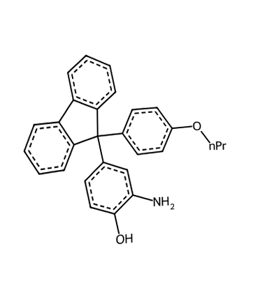 CCCOc1ccc(C2(c3ccc(O)c(N)c3)c3ccccc3-c3ccccc32)cc1